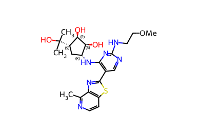 COCCNc1ncc(-c2nc3c(C)nccc3s2)c(N[C@@H]2C[C@H](C(C)(C)O)[C@@H](O)[C@H]2O)n1